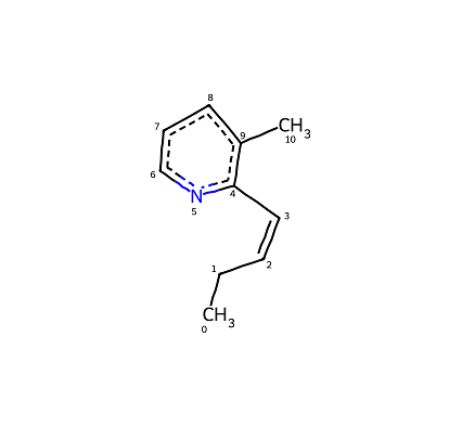 CC/C=C\c1ncccc1C